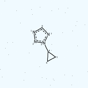 c1nnn(C2CC2)n1